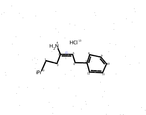 CC(C)CC/C(N)=C\Cc1ccccc1.Cl